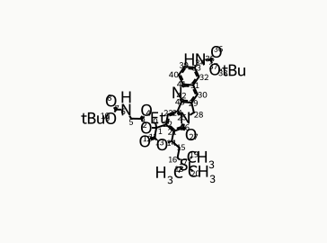 CCC1(OC(=O)CNC(=O)OC(C)(C)C)C(=O)OC(CC[Si](C)(C)C)c2c1cc1n(c2=O)Cc2cc3cc(NC(=O)OC(C)(C)C)ccc3nc2-1